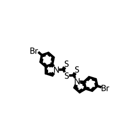 S=C(SC(=S)n1ccc2cc(Br)ccc21)n1ccc2cc(Br)ccc21